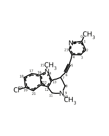 Cc1ccc(C#CC2CN(C)Cc3c2n(C)c2ccc(Cl)cc32)cn1